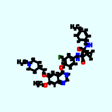 COc1cc2ncnc(Oc3ccc(NC(=O)C4(C(=O)Nc5ccc(C)cc5)CC4)cc3F)c2cc1OCC1CCN(C)CC1